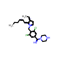 C/C=c1/ccn(Cc2c(F)cc(C(=N)N3CCNCC3)cc2Cl)/c1=C/C=C\CCC